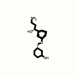 NCC[C@@H](O)c1cccc(OC[C@H]2CCCC(O)C2)c1